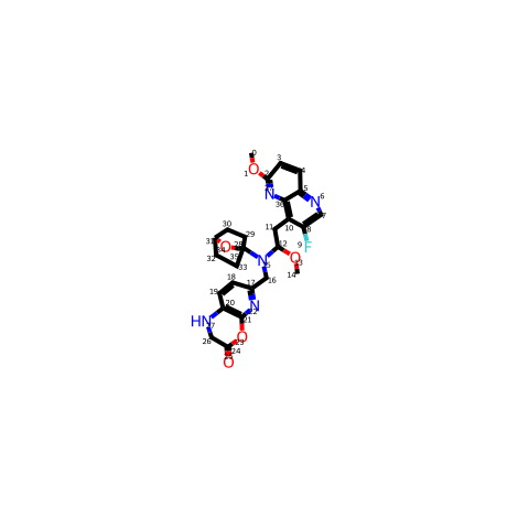 COc1ccc2ncc(F)c(CC(OC)N(Cc3ccc4c(n3)OC(=O)CN4)C34CCC(CC3)OC4)c2n1